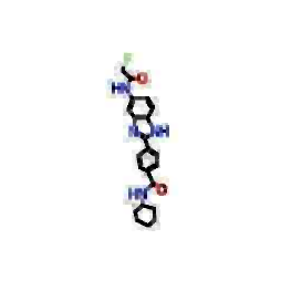 O=C(CF)Nc1ccc2[nH]c(-c3ccc(C(=O)NC4CCCCC4)cc3)nc2c1